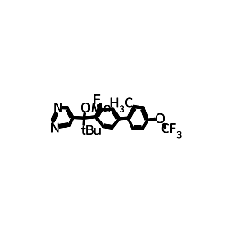 COC(c1cncnc1)(c1ccc(-c2ccc(OC(F)(F)F)cc2C)cc1F)C(C)(C)C